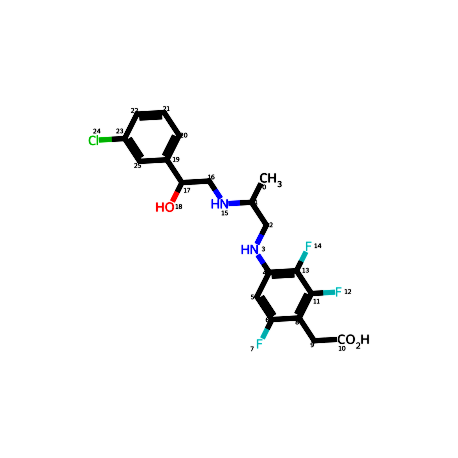 CC(CNc1cc(F)c(CC(=O)O)c(F)c1F)NCC(O)c1cccc(Cl)c1